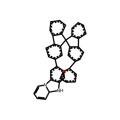 C1=CC2Nc3ccc(-c4ccc5c(c4)C4(c6ccccc6-c6ccc(-c7ccccc7)cc64)c4ccccc4-5)cc3N2C=C1